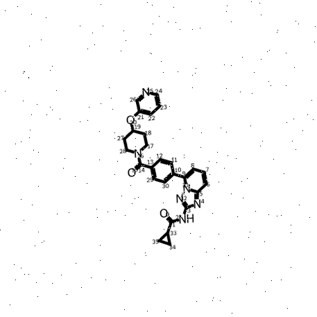 O=C(Nc1nc2cccc(-c3ccc(C(=O)N4CCC(Oc5cccnc5)CC4)cc3)n2n1)C1CC1